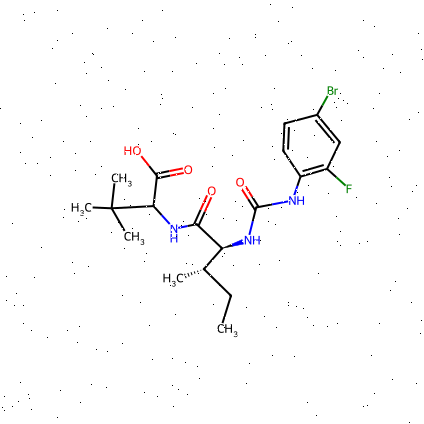 CC[C@H](C)[C@H](NC(=O)Nc1ccc(Br)cc1F)C(=O)NC(C(=O)O)C(C)(C)C